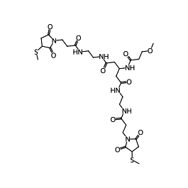 COCCC(=O)NC(CC(=O)NCCNC(=O)CCN1C(=O)CC(SC)C1=O)CC(=O)NCCNC(=O)CCN1C(=O)CC(SC)C1=O